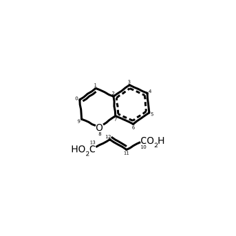 C1=Cc2ccccc2OC1.O=C(O)/C=C/C(=O)O